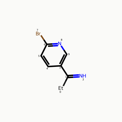 CCC(=N)c1ccc(Br)nc1